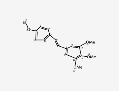 CCOc1ccc(C=Cc2cc(OC)c(OC)c(OC)c2)cc1